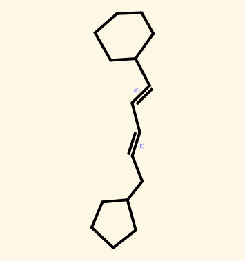 C(/C=C/C1CCCCC1)=C\CC1CCCC1